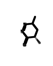 CC1C[C@H](C)C(=O)N=N1